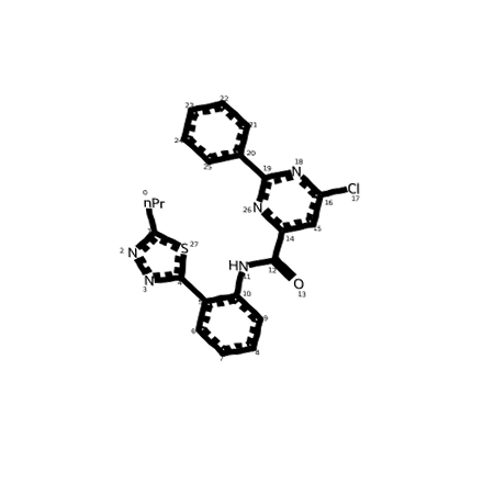 CCCc1nnc(-c2ccccc2NC(=O)c2cc(Cl)nc(-c3ccccc3)n2)s1